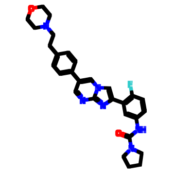 O=C(Nc1ccc(F)c(-c2cn3cc(-c4ccc(CCN5CCOCC5)cc4)cnc3n2)c1)N1CCCC1